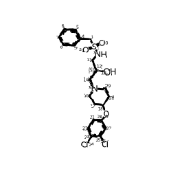 O=S(=O)(Cc1ccccc1)NC[C@@H](O)CN1CCC(Oc2ccc(Cl)c(Cl)c2)CC1